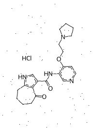 Cl.O=C(Nc1cnccc1OCCN1CCCC1)c1c[nH]c2c1C(=O)CCCC2